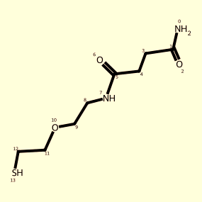 NC(=O)CCC(=O)NCCOCCS